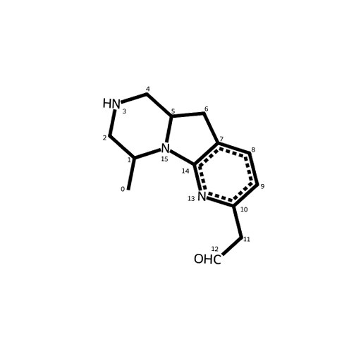 CC1CNCC2Cc3ccc(CC=O)nc3N12